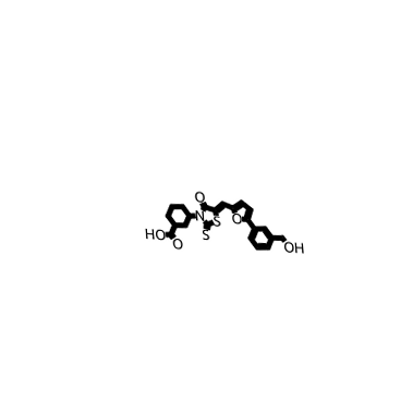 O=C(O)C1CCCC(N2C(=O)C(=Cc3ccc(-c4cccc(CO)c4)o3)SC2=S)C1